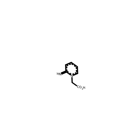 N=c1ccccn1CC(=O)O